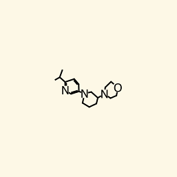 CC(C)c1ccc(N2CCCC(N3CCOCC3)C2)cn1